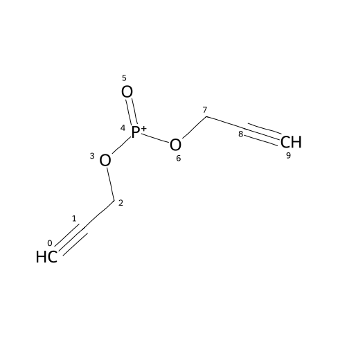 C#CCO[P+](=O)OCC#C